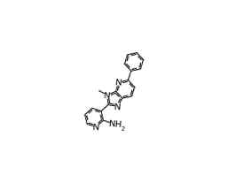 Cn1c(-c2cccnc2N)nc2ccc(-c3ccccc3)nc21